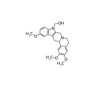 COc1ccc2c(c1)c1c(n2CO)CN2CCc3cc(OC)c(OC)cc3C2C1